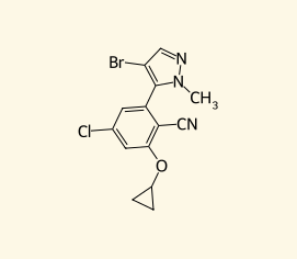 Cn1ncc(Br)c1-c1cc(Cl)cc(OC2CC2)c1C#N